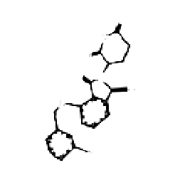 C[C@H](Nc1cccc2c1C(=O)N(C1CCC(=O)NC1=O)C2=O)c1cccc(F)c1